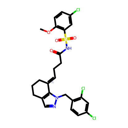 COc1ccc(Cl)cc1S(=O)(=O)NC(=O)CC/C=C1\CCCc2cnn(Cc3ccc(Cl)cc3Cl)c21